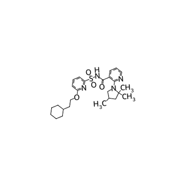 CC1CN(c2ncccc2C(=O)NS(=O)(=O)c2cccc(OCCC3CCCCC3)n2)C(C)(C)C1